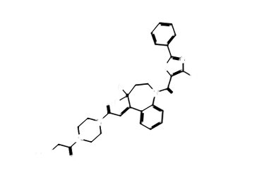 Cc1nc(-c2ccccc2)sc1C(=O)N1CCC(F)(F)/C(=C\C(=O)N2CCN(C(=O)CC(=O)O)CC2)c2ccccc21